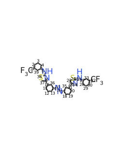 FC(F)(F)c1cccc(Nc2nc(-c3cccc(/N=N/c4cccc(-c5csc(Nc6cccc(C(F)(F)F)c6)n5)c4)c3)cs2)c1